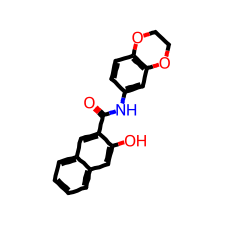 O=C(Nc1ccc2c(c1)OCCO2)c1cc2ccccc2cc1O